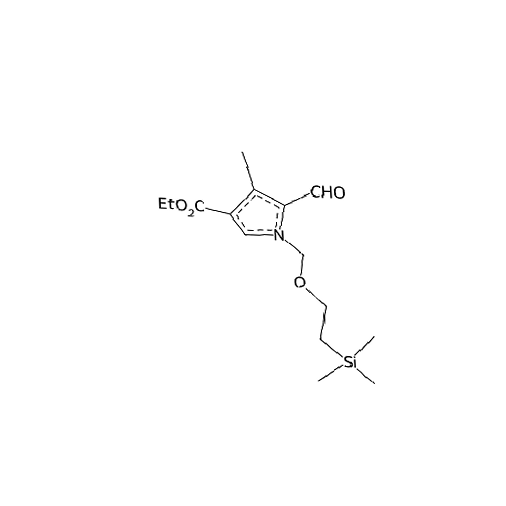 CCOC(=O)c1cn(COCC[Si](C)(C)C)c(C=O)c1C